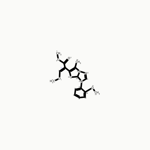 CO/C=C(/C(=O)OC)C1=C(C)N2N=CN(c3ccccc3OC)C2S1